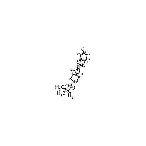 CC(C)(C)OC(=O)N1CCC2(CC1)CN(c1nc3ccc(Cl)cc3s1)C2